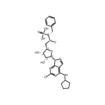 O=P(O)(O)[C@H](Cc1ccccc1)[S+]([O-])C[C@H]1O[C@@H](n2ncc3c(NC4CCCC4)nc(Cl)nc32)[C@H](O)[C@@H]1O